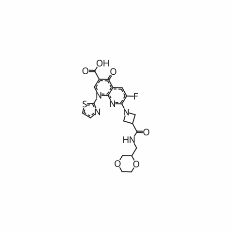 O=C(O)c1cn(-c2nccs2)c2nc(N3CC(C(=O)NCC4COCCO4)C3)c(F)cc2c1=O